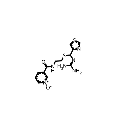 NC(N)=NC(SCCNC(=O)c1ccc[n+]([O-])c1)c1cscn1